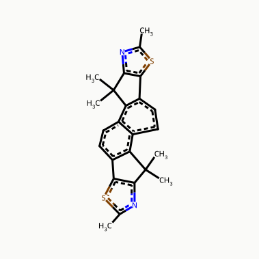 Cc1nc2c(s1)-c1ccc3c4c(ccc3c1C2(C)C)-c1sc(C)nc1C4(C)C